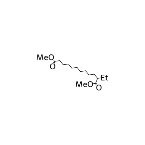 CCC(CCCCCCCCCC(=O)OC)C(=O)OC